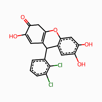 O=C1CC2=C(C=C1O)C(c1cccc(Cl)c1Cl)c1cc(O)c(O)cc1O2